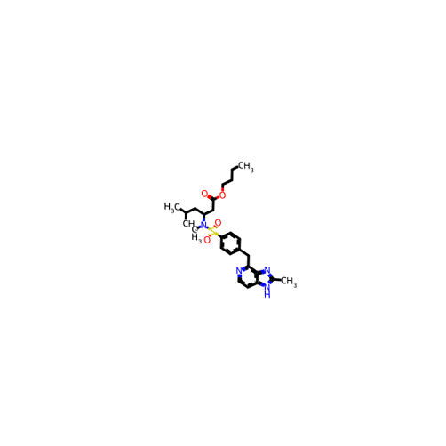 CCCCOC(=O)CC(CC(C)C)N(C)S(=O)(=O)c1ccc(Cc2nccc3[nH]c(C)nc23)cc1